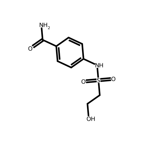 NC(=O)c1ccc(NS(=O)(=O)CCO)cc1